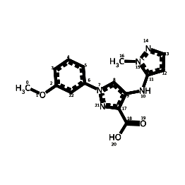 COc1cccc(-n2cc(Nc3ccnn3C)c(C(=O)O)n2)c1